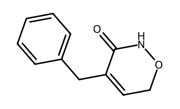 O=C1NOCC=C1Cc1ccccc1